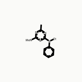 CCN(c1ccccc1)c1nc(C)nc(NC)n1